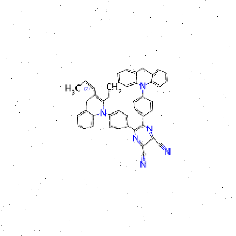 C=CC1=C(/C=C\C)Cc2ccccc2N1c1ccc(-c2nc(C#N)c(C#N)nc2-c2ccc(N3c4ccccc4Cc4ccccc43)cc2)cc1